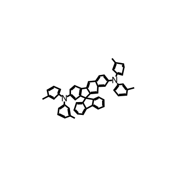 Cc1cccc(N(c2cccc(C)c2)c2ccc3c(c2)C2(c4ccccc4-c4ccccc42)c2cc4cc(N(c5cccc(C)c5)c5cccc(C)c5)ccc4cc2-3)c1